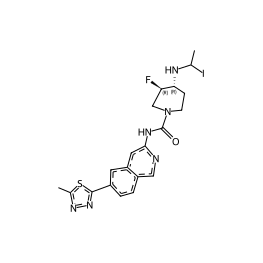 Cc1nnc(-c2ccc3cnc(NC(=O)N4CC[C@@H](NC(C)I)[C@H](F)C4)cc3c2)s1